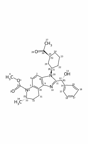 COC(=O)N1c2ccc3c(nc([C@H](O)c4ccccc4)n3[C@@H]3CCC[C@H](C(C)=O)C3)c2CC[C@@H]1C